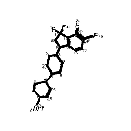 CCCC1CCC(C2CCC(C3CC(F)(F)c4c3ccc(F)c4F)CC2)CC1